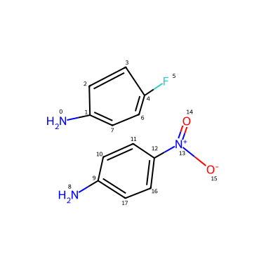 Nc1ccc(F)cc1.Nc1ccc([N+](=O)[O-])cc1